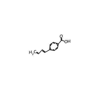 C=CC=Cc1ccc(C(=O)O)cc1